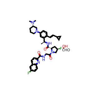 C[C@H](NC(=O)[C@@H]1C[C@@H](F)CN1C(=O)CNC(=O)c1ccc2cc(F)ccc2n1)c1cc(N2CCC[C@H](N(C)C)C2)ccc1/C=C/C1CC1.O=CO